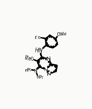 CCCN(CCC)c1c(OC)c(Nc2ccc(OC)cc2CC)nc2ccnn12